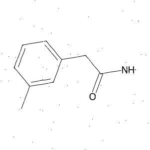 Cc1cccc(CC([NH])=O)c1